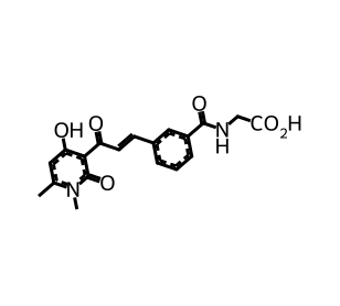 Cc1cc(O)c(C(=O)/C=C/c2cccc(C(=O)NCC(=O)O)c2)c(=O)n1C